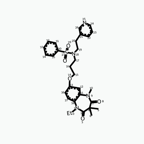 CCN1C(=O)C(C)(C)C(=O)N(C)c2cc(OCCCN(CCc3cccnc3)S(=O)(=O)c3ccccc3)ccc21